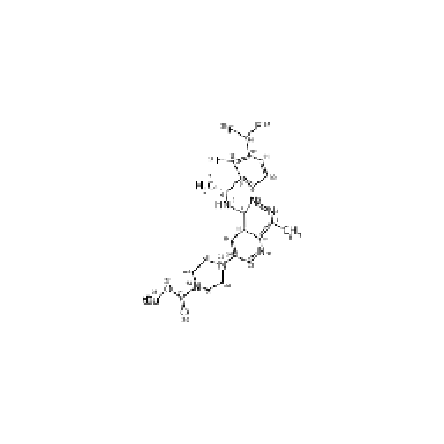 Cc1nnc(N[C@H](C)c2cccc(C(F)F)c2F)c2cc(N3CCN(C(=O)OC(C)(C)C)CC3)cnc12